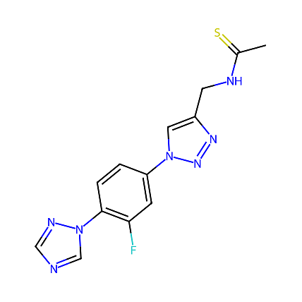 CC(=S)NCc1cn(-c2ccc(-n3cncn3)c(F)c2)nn1